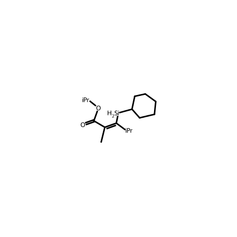 CC(C(=O)OC(C)C)=C([SiH2]C1CCCCC1)C(C)C